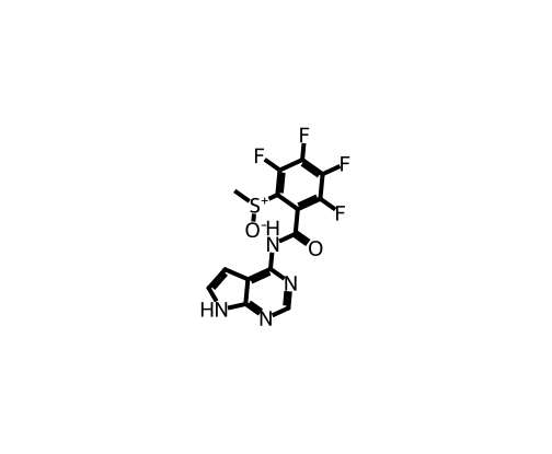 C[S+]([O-])c1c(F)c(F)c(F)c(F)c1C(=O)Nc1ncnc2[nH]ccc12